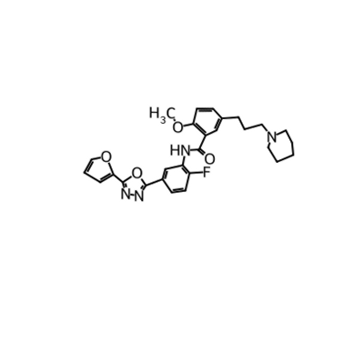 COc1ccc(CCCN2CCCCC2)cc1C(=O)Nc1cc(-c2nnc(-c3ccco3)o2)ccc1F